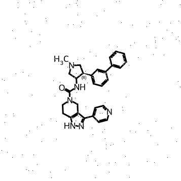 CN1CC(NC(=O)N2CCc3[nH]nc(-c4ccncc4)c3C2)[C@H](c2cccc(-c3ccccc3)c2)C1